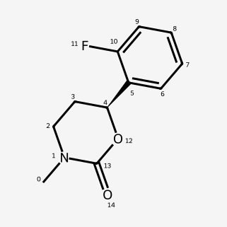 CN1CC[C@@H](c2ccccc2F)OC1=O